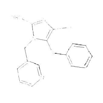 CC(C)c1nc(C=O)n(Cc2cccnc2)c1Sc1ccccc1